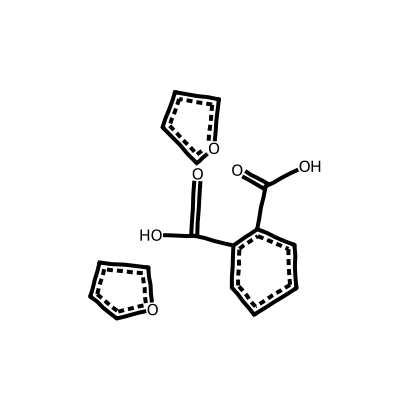 O=C(O)c1ccccc1C(=O)O.c1ccoc1.c1ccoc1